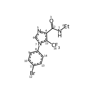 CCNC(=O)c1ncn(-c2ccc(Br)cc2)c1C(F)(F)F